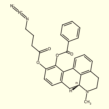 CN1CCc2cccc3c2[C@H]1Cc1ccc(OC(=O)CCCN=[N+]=[N-])c(OC(=O)c2ccccc2)c1-3